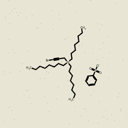 CCCCCCCC[N+](CC#CBr)(CCCCCCCC)CCCCCCCC.O=S(=O)([O-])c1ccccc1